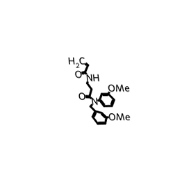 C=CC(=O)NCCC(=O)N(Cc1cccc(OC)c1)c1cccc(OC)c1